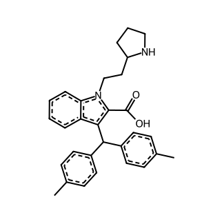 Cc1ccc(C(c2ccc(C)cc2)c2c(C(=O)O)n(CCC3CCCN3)c3ccccc23)cc1